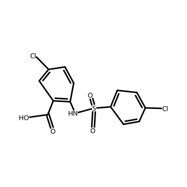 O=C(O)c1cc(Cl)ccc1NS(=O)(=O)c1ccc(Cl)cc1